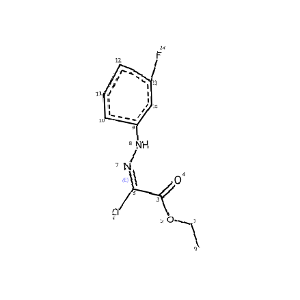 CCOC(=O)/C(Cl)=N\Nc1cccc(F)c1